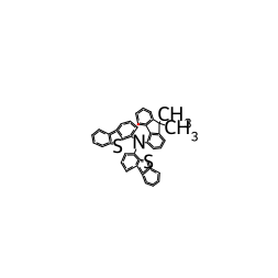 CC1(C)c2ccccc2-c2c(N(c3cccc4c3sc3ccccc34)c3cccc4c3sc3ccccc34)cccc21